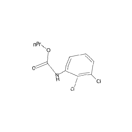 [CH2]CCOC(=O)Nc1cccc(Cl)c1Cl